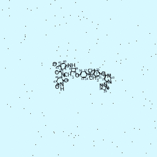 CN(C(=O)c1cc(N[C@H]2C[C@@H](Oc3ccc(C(C)(C)c4ccc(Oc5cc(-n6nccn6)ncn5)cc4)cc3)C2)ccc1C=O)C1CCC(=O)NC1=O